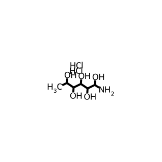 CC(O)C(O)C(O)C(O)C(N)O.Cl.Cl